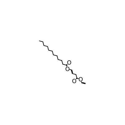 C=COC(=O)CC=COC(=O)CCCCCCCCCCC